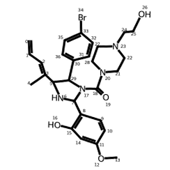 C=C/C=C(\C)C1NC(c2ccc(OC)cc2O)N(C(=O)N2CCN(CCO)CC2)C1c1ccc(Br)cc1